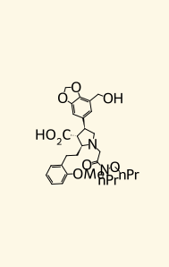 CCCON(CCC)C(=O)CN1C[C@H](c2cc(CO)c3c(c2)OCO3)[C@@H](C(=O)O)[C@@H]1CCc1ccccc1OC